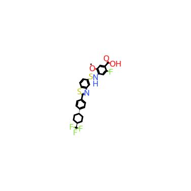 COc1cc(C(=O)O)c(F)cc1NSc1ccc2sc(-c3ccc([C@H]4CC[C@H](C(F)(F)F)CC4)cc3)nc2c1